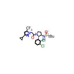 CC(C)(C)[S@@+]([O-])N[C@@H]1CCN(C(=O)Cn2nc(C3CC3)cc2C(F)(F)F)[C@@H]1c1cccc(Cl)c1Cl